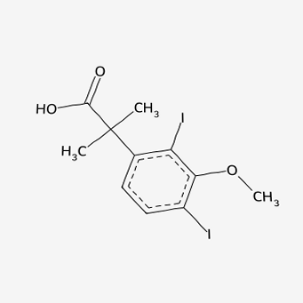 COc1c(I)ccc(C(C)(C)C(=O)O)c1I